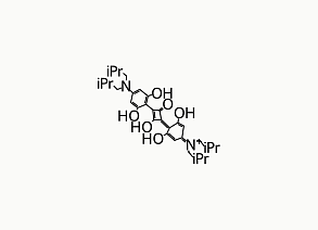 CC(C)CN(CC(C)C)c1cc(O)c(C2=C(O)C(=C3C(O)=CC(=[N+](CC(C)C)CC(C)C)C=C3O)C2=O)c(O)c1